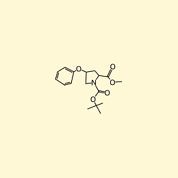 COC(=O)C1CC(Oc2ccccc2)CN1C(=O)OC(C)(C)C